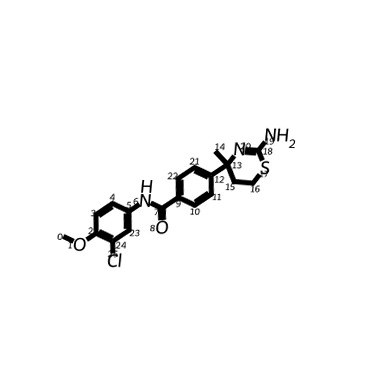 COc1ccc(NC(=O)c2ccc(C3(C)CCSC(N)=N3)cc2)cc1Cl